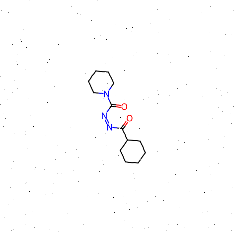 O=C(/N=N\C(=O)N1CCCCC1)C1CCCCC1